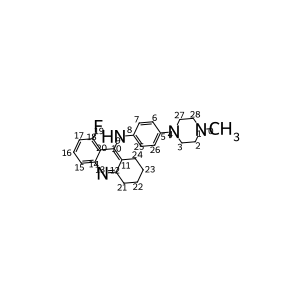 CN1CCN(c2ccc(Nc3c4c(nc5cccc(F)c35)CCCC4)cc2)CC1